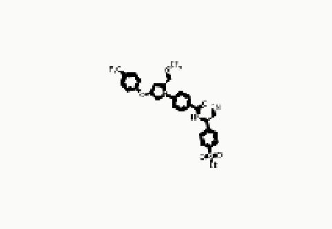 CCS(=O)(=O)c1ccc([C@H](CC#N)NC(=O)c2ccc(N3C[C@@H](Oc4ccc(C(F)(F)F)cc4)C[C@H]3COC(F)(F)F)cc2)cc1